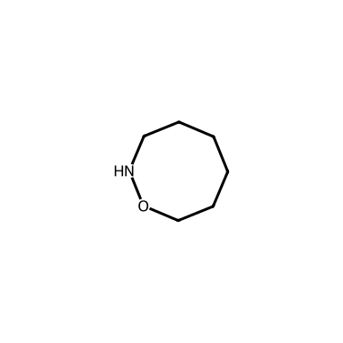 C1CCCONCC1